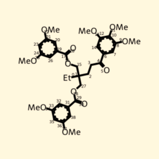 CCC(CCC(=O)c1cc(OC)c(OC)c(OC)c1)(COC(=O)c1cc(OC)cc(OC)c1)COC(=O)c1cc(OC)cc(OC)c1